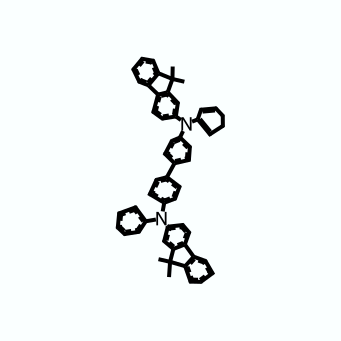 CC1(C)c2ccccc2-c2ccc(N(C3=CCCC=C3)c3ccc(-c4ccc(N(c5ccccc5)c5ccc6c(c5)C(C)(C)c5ccccc5-6)cc4)cc3)cc21